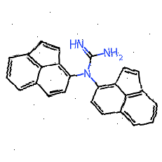 N=C(N)N(c1ccc2cccc3c2c1C=C3)c1ccc2cccc3c2c1C=C3